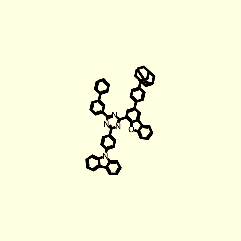 c1ccc(-c2cccc(-c3nc(-c4ccc(-n5c6ccccc6c6ccccc65)cc4)nc(-c4cc(-c5ccc(C67CC8CC(CC(C8)C6)C7)cc5)cc5c4oc4ccccc45)n3)c2)cc1